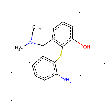 CN(C)Cc1cccc(O)c1Sc1ccccc1N